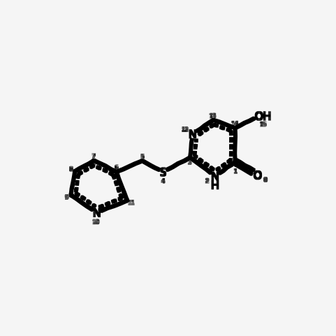 O=c1[nH]c(SCc2cccnc2)ncc1O